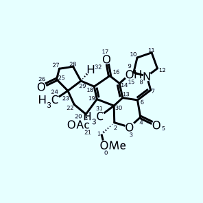 COC[C@H]1OC(=O)/C(=C/N2CCCC2)C2=C(O)C(=O)C3=C([C@H](OC(C)=O)CC4(C)C(=O)CC[C@@H]34)C21C